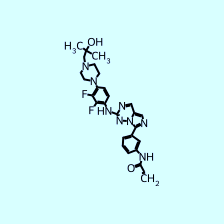 C=CC(=O)Nc1cccc(-c2ncc3cnc(Nc4ccc(N5CCN(CC(C)(C)O)CC5)c(F)c4F)nn23)c1